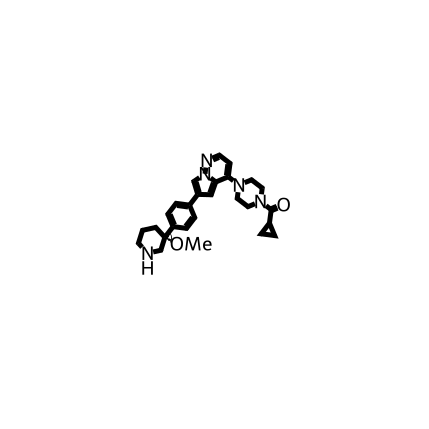 CO[C@@]1(c2ccc(-c3cc4c(N5CCN(C(=O)C6CC6)CC5)ccnn4c3)cc2)CCCNC1